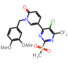 COc1ccc(Cn2cc(-c3nc(S(C)(=O)=O)nc(C(F)(F)F)c3Cl)ccc2=O)cc1OC